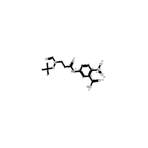 CC(C)(C)ON(C=O)CCC(=O)Nc1ccc([N+](=O)[O-])c(C(=O)O)c1